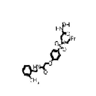 Cc1ccccc1CNC(=O)COc1ccc(S(=O)(=O)N(CC(=O)NO)CC(C)C)cc1